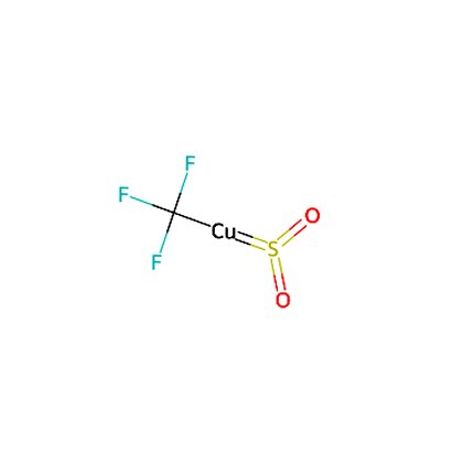 O=[S](=O)=[Cu][C](F)(F)F